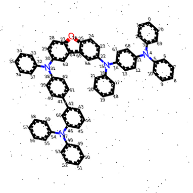 c1ccc(N(c2ccccc2)c2ccc(N(c3ccccc3)c3ccc4oc5ccc(N(c6ccccc6)c6ccc(-c7cccc(N(c8ccccc8)c8ccccc8)c7)cc6)cc5c4c3)cc2)cc1